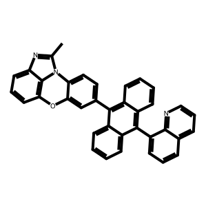 Cc1nc2cccc3c2n1-c1ccc(-c2c4ccccc4c(-c4cccc5cccnc45)c4ccccc24)cc1O3